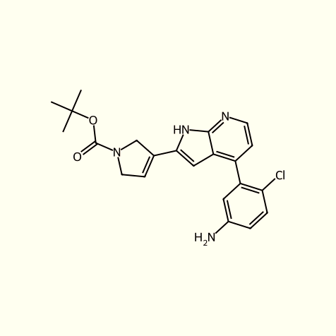 CC(C)(C)OC(=O)N1CC=C(c2cc3c(-c4cc(N)ccc4Cl)ccnc3[nH]2)C1